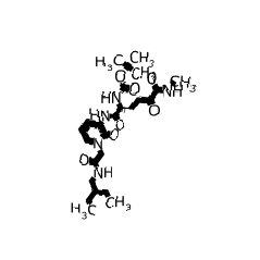 CCC(CC)CNC(=O)Cn1cccc(NC(=O)[C@H](CCC(=O)C(=O)NC)NC(=O)OC(C)(C)C)c1=O